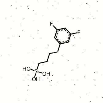 O[Si](O)(O)CCCCc1cc(F)cc(F)c1